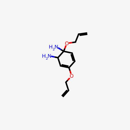 C=CCOC1=CC(N)C(N)(OCC=C)C=C1